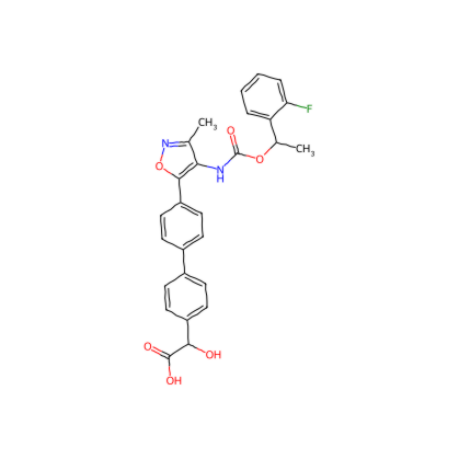 Cc1noc(-c2ccc(-c3ccc(C(O)C(=O)O)cc3)cc2)c1NC(=O)OC(C)c1ccccc1F